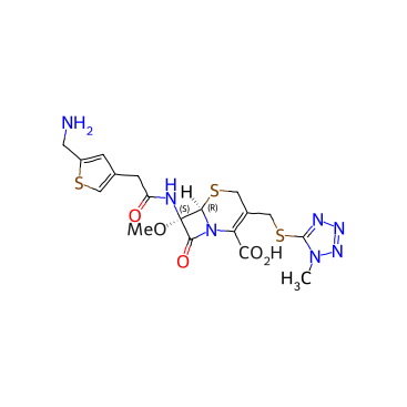 CO[C@@]1(NC(=O)Cc2csc(CN)c2)C(=O)N2C(C(=O)O)=C(CSc3nnnn3C)CS[C@@H]21